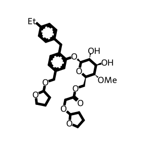 CCc1ccc(Cc2ccc(COC3CCCO3)cc2O[C@@H]2O[C@H](COC(=O)COC3CCCO3)[C@@H](OC)[C@H](O)[C@H]2O)cc1